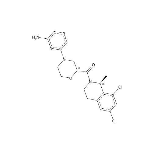 C[C@H]1c2c(Cl)cc(Cl)cc2CCN1C(=O)[C@H]1CN(c2cncc(N)n2)CCO1